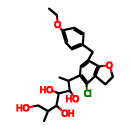 CCOc1ccc(Cc2cc(C(C)C(O)C(O)C(O)C(C)CO)c(Cl)c3c2OCC3)cc1